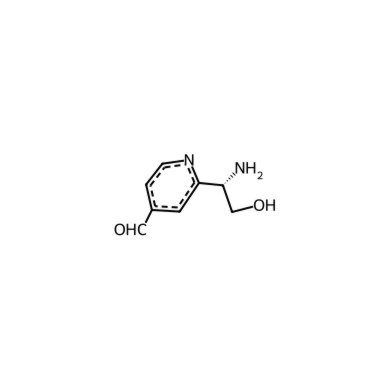 N[C@H](CO)c1cc(C=O)ccn1